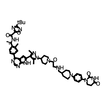 Cc1cc(-c2ncnc3[nH]c(-c4c(C)nn(C5CCN(C(=O)CNCC6CCN(c7ccc(N8CCC(=O)NC8=O)cc7)CC6)CC5)c4C)cc23)ccc1[C@@H](C)NC(=O)c1nc(C(C)(C)C)no1